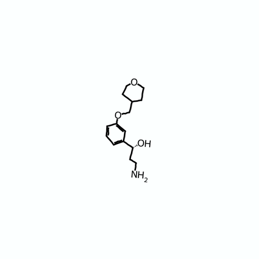 NCC[C@@H](O)c1cccc(OCC2CCOCC2)c1